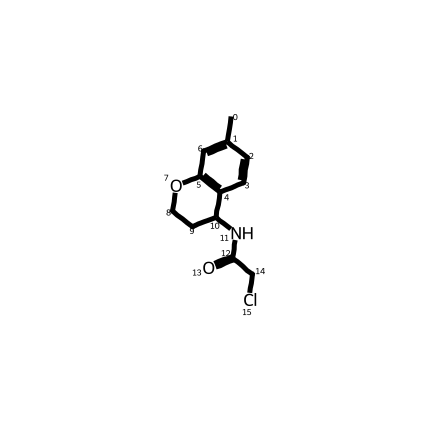 Cc1ccc2c(c1)OCCC2NC(=O)CCl